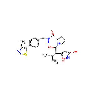 Cc1ncsc1-c1ccc(CNC(=O)[C@@H]2CCCN2C(=O)C(c2cc(O)no2)C(C)C)cc1